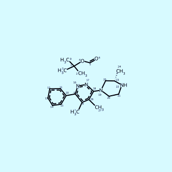 CC(C)(C)OC=O.Cc1c(-c2ccccc2)nnc(N2CCN[C@@H](C)C2)c1C